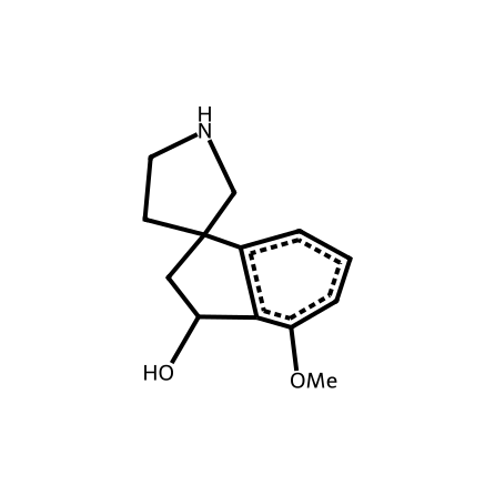 COc1cccc2c1C(O)CC21CCNC1